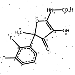 CC1(c2cccc(F)c2F)OC(NC(=O)O)=C(O)C1=O